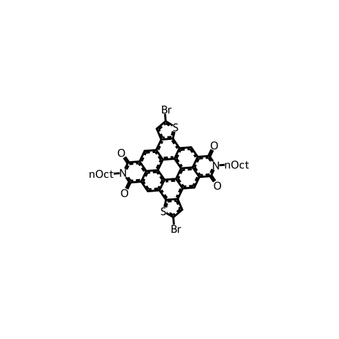 CCCCCCCCn1c(=O)c2cc3c4cc(Br)sc4c4cc5c(=O)n(CCCCCCCC)c(=O)c6cc7c8cc(Br)sc8c8cc(c1=O)c2c1c3c4c(c65)c7c81